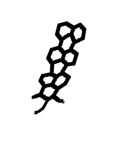 C=c1c2ccc3c4ccc5c6cccc7cccc(c8ccc(c9ccc(c(=O)n1CBr)c2c39)c4c58)c76